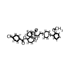 COc1ccccc1N1CCN(CCC2[N+](=O)C3=CC4(CS3)C(OC(=O)c3ccc(Cl)cc3)CCC[N+]24[O-])CC1